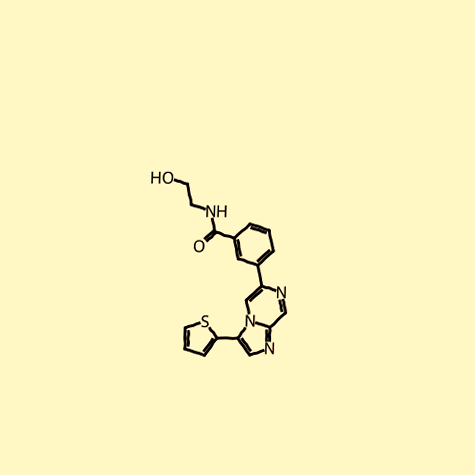 O=C(NCCO)c1cccc(-c2cn3c(-c4cccs4)cnc3cn2)c1